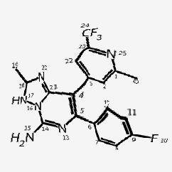 Cc1cc(C2=C(c3ccc(F)cc3)N=C(N)N3NC(C)N=C23)cc(C(F)(F)F)n1